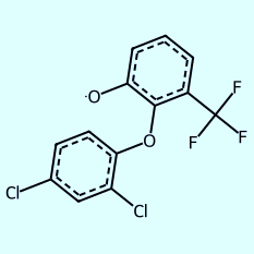 [O]c1cccc(C(F)(F)F)c1Oc1ccc(Cl)cc1Cl